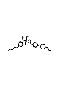 CC=CCCc1ccc(C(F)C(F)(F)OCc2ccc(C3CCC(C=CC)CC3)cc2)cc1